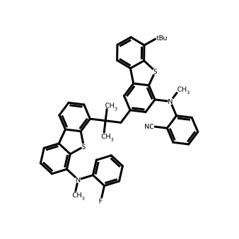 CN(c1ccccc1C#N)c1cc(CC(C)(C)c2cccc3c2sc2c(N(C)c4ccccc4F)cccc23)cc2c1sc1c(C(C)(C)C)cccc12